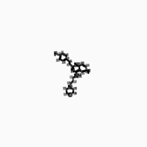 Fc1ccc(C=Cc2nc(NCCCN3CCOCC3)c3cc(F)ccc3n2)cc1